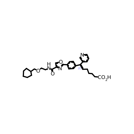 O=C(O)CCCC/C=C(/c1ccc(-c2nc(C(=O)NCCOCC3CCCCC3)co2)cc1)c1cccnc1